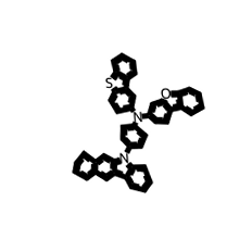 c1ccc2cc3c(cc2c1)c1ccccc1n3-c1ccc(N(c2ccc3c(c2)oc2ccccc23)c2ccc3sc4ccccc4c3c2)cc1